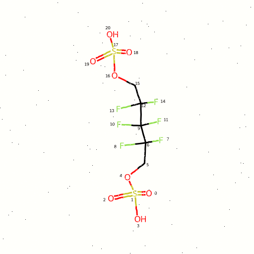 O=S(=O)(O)OCC(F)(F)C(F)(F)C(F)(F)COS(=O)(=O)O